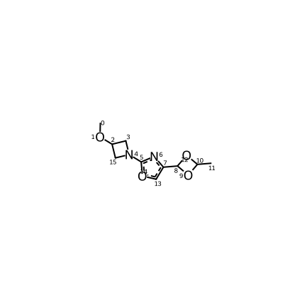 COC1CN(c2nc(C3OC(C)O3)co2)C1